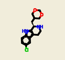 Clc1ccc2[nH]c3c(c2c1)CCN[C@H]3CC1COCOC1